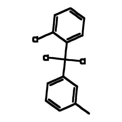 Cc1cccc(C(Cl)(Cl)c2ccccc2Cl)c1